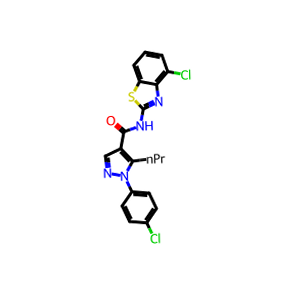 CCCc1c(C(=O)Nc2nc3c(Cl)cccc3s2)cnn1-c1ccc(Cl)cc1